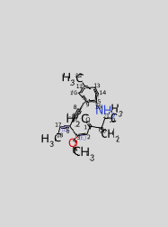 C=C(/C=C(OC)\C(C#Cc1cc(C)ccc1N)=C/C)C(=C)CC